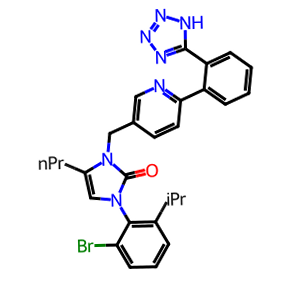 CCCc1cn(-c2c(Br)cccc2C(C)C)c(=O)n1Cc1ccc(-c2ccccc2-c2nnn[nH]2)nc1